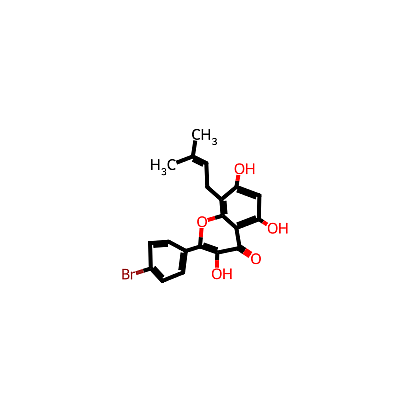 CC(C)=CCc1c(O)cc(O)c2c(=O)c(O)c(-c3ccc(Br)cc3)oc12